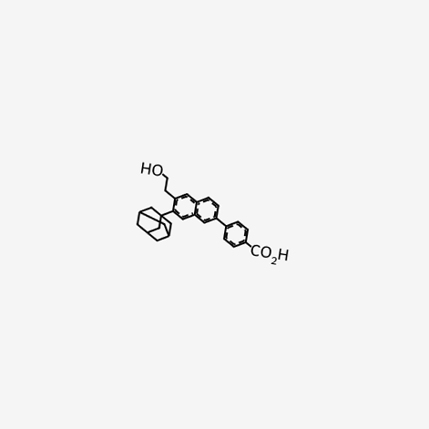 O=C(O)c1ccc(-c2ccc3cc(CCO)c(C45CC6CC(CC(C6)C4)C5)cc3c2)cc1